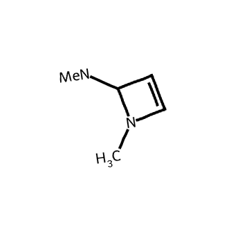 CNC1C=CN1C